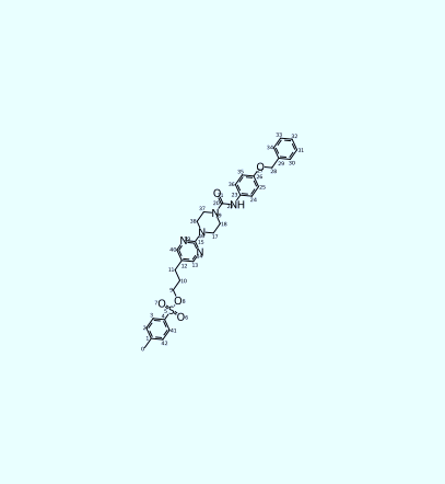 Cc1ccc(S(=O)(=O)OCCCc2cnc(N3CCN(C(=O)Nc4ccc(OCc5ccccc5)cc4)CC3)nc2)cc1